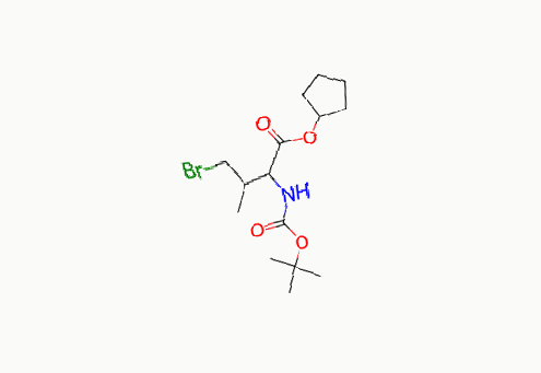 CC(CBr)C(NC(=O)OC(C)(C)C)C(=O)OC1CCCC1